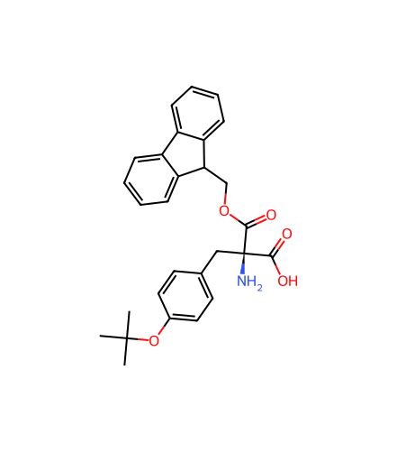 CC(C)(C)Oc1ccc(C[C@@](N)(C(=O)O)C(=O)OCC2c3ccccc3-c3ccccc32)cc1